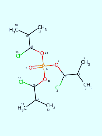 CC(C)C(Cl)OP(=O)(OC(Cl)C(C)C)OC(Cl)C(C)C